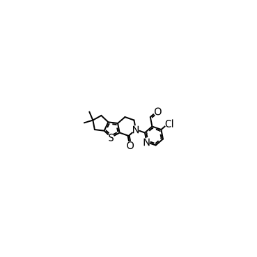 CC1(C)Cc2sc3c(c2C1)CCN(c1nccc(Cl)c1C=O)C3=O